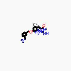 CN(C)Cc1cccc(COc2cc(C(F)(F)F)c3cc(C(=O)N(C)C(=N)N)[nH]c3c2)c1